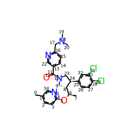 Cc1ccc(O[C@H](C)[C@@H]2CN(C(=O)c3ccc(CN(C)C)nc3)C[C@H]2c2ccc(Cl)c(Cl)c2)nc1